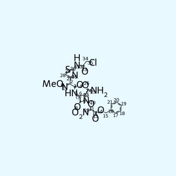 CON=C(C(=O)N[C@@H]1C(=O)N(OC(C(=O)OCc2ccccc2)[N+](=O)[O-])[C@@H]1C(N)=O)c1csc(NC(=O)CCl)n1